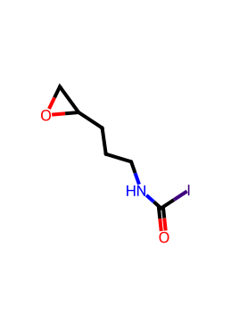 O=C(I)NCCCC1CO1